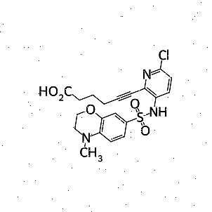 CN1CCOc2cc(S(=O)(=O)Nc3ccc(Cl)nc3C#CCCCC(=O)O)ccc21